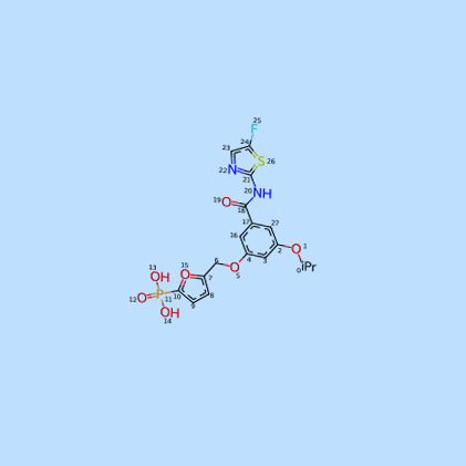 CC(C)Oc1cc(OCc2ccc(P(=O)(O)O)o2)cc(C(=O)Nc2ncc(F)s2)c1